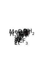 CCc1ccc2cc(-c3nc4cc(C(=O)N5[C@H]6CC[C@@H]5[C@H](N)C6)cc(OC)n4c3C)n(CC(F)(F)F)c2n1